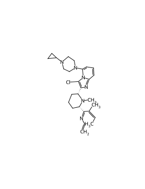 C=C/N=C(\C(C)=C/C)[C@@H]1CCC[C@H](c2nc3cccc(N4CCN(C5CC5)CC4)n3c2Cl)N1C